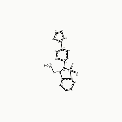 O=C(O)CC1c2ccccc2S(=O)(=O)N1c1ccc(-n2cncn2)cc1